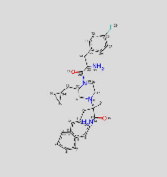 CC(Cc1ccc2ccccc2c1)(C(N)=O)N1CCN(C(=O)C(N)Cc2ccc(F)cc2)C(CC2CC2)C1